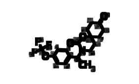 C[C@@H](c1ccc(OC(F)(F)F)cc1)N1CCC2(CCC(=O)CC2)OC1=O